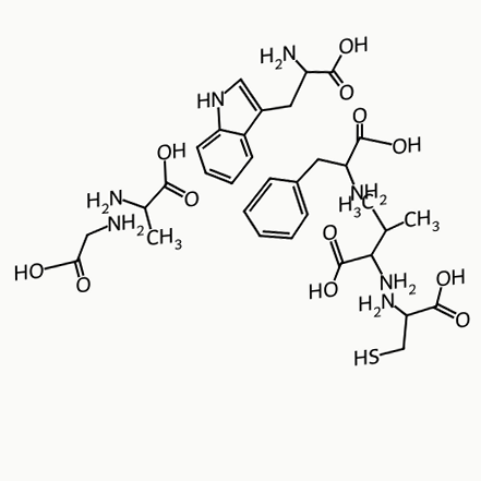 CC(C)C(N)C(=O)O.CC(N)C(=O)O.NC(CS)C(=O)O.NC(Cc1c[nH]c2ccccc12)C(=O)O.NC(Cc1ccccc1)C(=O)O.NCC(=O)O